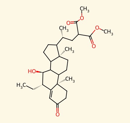 CC[C@H]1C2=CC(=O)CC[C@]2(C)C2CC[C@@]3(C)C(CCC3[C@H](C)CC(C(=O)OC)C(=O)OC)C2[C@@H]1O